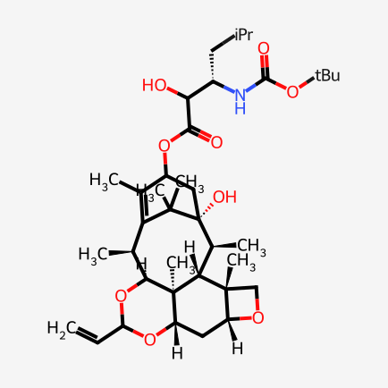 C=CC1O[C@H]2C[C@H]3OC[C@@]3(C)[C@H]3[C@H](C)[C@]4(O)CC(OC(=O)C(O)[C@H](CC(C)C)NC(=O)OC(C)(C)C)C(C)=C([C@H](C)[C@H](O1)[C@]23C)C4(C)C